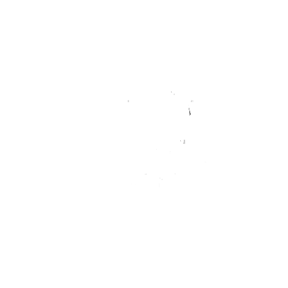 CC(C)C[C@H](NC(=O)OCc1ccccc1)C(=O)NCC[C@@H]1C2OC2CN1C(=O)OC(C)(C)C